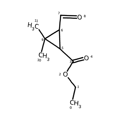 CCOC(=O)C1C(C=O)C1(C)C